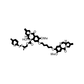 C=C1C[C@H]2C=Nc3cc(OCCCCCOc4cc5c(cc4OC)C(=O)N4CC(=C)C[C@H]4[C@H](O)N5C(=O)OC[C@@H](C)SSc4ccc(C)cn4)c(OC)cc3C(=O)N2C1